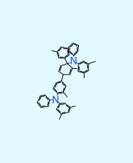 CC1=CC(c2ccc(N(c3ccccc3)c3cc(C)cc(C)c3)c(C)c2)C=CC1(c1cccc(C)c1)N(c1ccccc1)c1cc(C)cc(C)c1